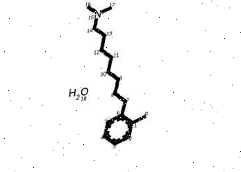 Cc1ccccc1CCCCCCCCN(C)C.O